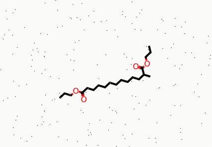 CCCOC(=O)CCCCCCCCCCC(C)C(=O)OCCC